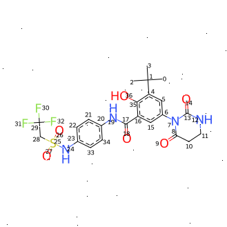 CC(C)(C)c1cc(N2C(=O)CCNC2=O)cc(C(=O)Nc2ccc(NS(=O)(=O)CC(F)(F)F)cc2)c1O